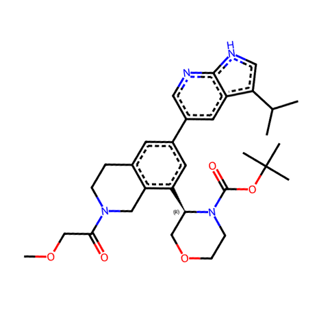 COCC(=O)N1CCc2cc(-c3cnc4[nH]cc(C(C)C)c4c3)cc([C@@H]3COCCN3C(=O)OC(C)(C)C)c2C1